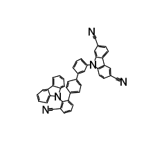 N#Cc1ccc2c(c1)c1ccc(C#N)cc1n2-c1cccc(-c2ccc(-c3cccc(C#N)c3-n3c4ccccc4c4ccccc43)cc2)c1